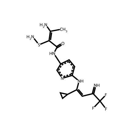 C/C(N)=C(/SN)C(=O)Nc1ccc(N/C(=C\C(=N)C(F)(F)F)C2CC2)nc1